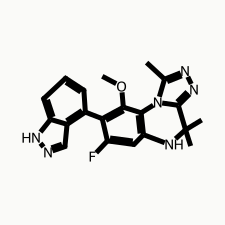 COc1c(-c2cccc3[nH]ncc23)c(F)cc2c1-n1c(C)nnc1C(C)(C)N2